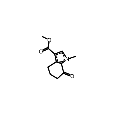 COC(=O)c1cn(C)c2c1CCCC2=O